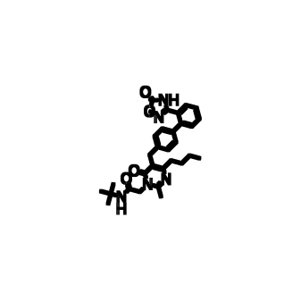 CCCCc1nc(C)n(CC(=O)NC(C)(C)C)c(=O)c1Cc1ccc(-c2ccccc2-c2noc(=O)[nH]2)cc1